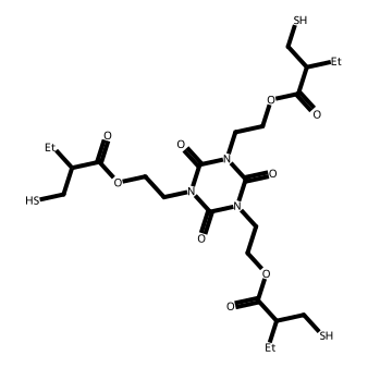 CCC(CS)C(=O)OCCn1c(=O)n(CCOC(=O)C(CC)CS)c(=O)n(CCOC(=O)C(CC)CS)c1=O